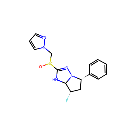 [O-][S+](Cn1cccn1)C1=NN2C(N1)[C@@H](F)C[C@H]2c1ccccc1